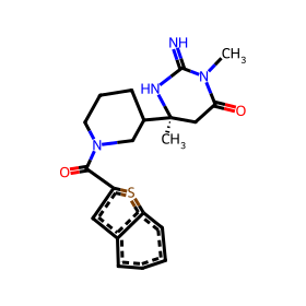 CN1C(=N)N[C@](C)(C2CCCN(C(=O)c3cc4ccccc4s3)C2)CC1=O